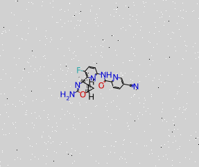 C[C@@]1(c2nc(NC(=O)c3ccc(C#N)cn3)ccc2F)N=C(N)O[C@H]2C[C@H]21